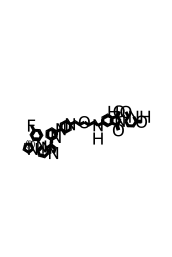 O=C1CCC(N2C(=O)c3ccc(NCCOCCN4CCN(c5cccc(-c6cnc7ccc(N8CCC[C@@H]8c8cccc(F)c8)nn67)n5)CC4)cc3C2=O)C(O)N1